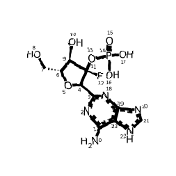 Nc1nc(C2O[C@H](CO)[C@@H](O)[C@]2(F)OP(=O)(O)O)nc2nc[nH]c12